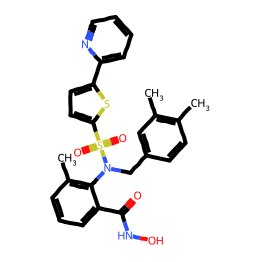 Cc1ccc(CN(c2c(C)cccc2C(=O)NO)S(=O)(=O)c2ccc(-c3ccccn3)s2)cc1C